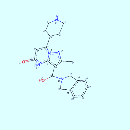 Cc1nn2c(C3CCNCC3)cc(=O)[nH]c2c1C(O)N1Cc2ccccc2C1